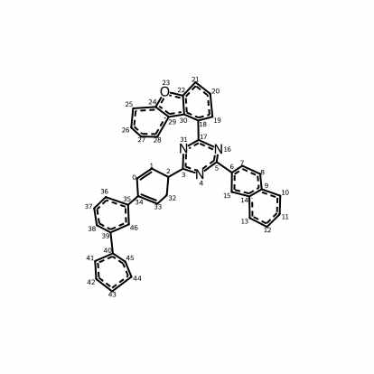 C1=CC(c2nc(-c3ccc4ccccc4c3)nc(-c3cccc4oc5ccccc5c34)n2)CC=C1c1cccc(-c2ccccc2)c1